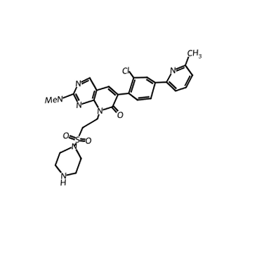 CNc1ncc2cc(-c3ccc(-c4cccc(C)n4)cc3Cl)c(=O)n(CCS(=O)(=O)N3CCNCC3)c2n1